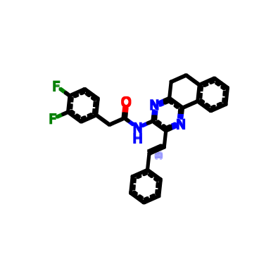 O=C(Cc1ccc(F)c(F)c1)Nc1nc2c(nc1/C=C/c1ccccc1)-c1ccccc1CC2